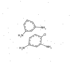 Nc1ccc(Cl)c(N)c1.Nc1cccc(N)c1